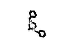 CC1CN(Cc2ccccc2)CCN1Cc1ccccc1